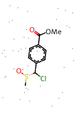 COC(=O)c1ccc(C(Cl)[S+](C)[O-])cc1